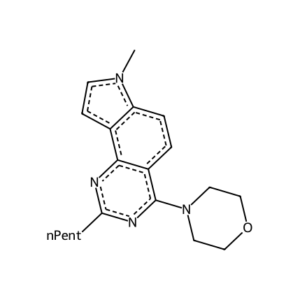 CCCCCc1nc(N2CCOCC2)c2ccc3c(ccn3C)c2n1